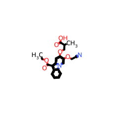 CCOC(=O)c1c2ccccc2n2cc(OCC#N)c(OCC(C)C(=O)O)cc12